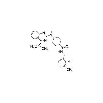 CN(C)c1nc(NC2CCC(C(=O)NCc3cccc(C(F)(F)F)c3F)CC2)nc2ccccc12